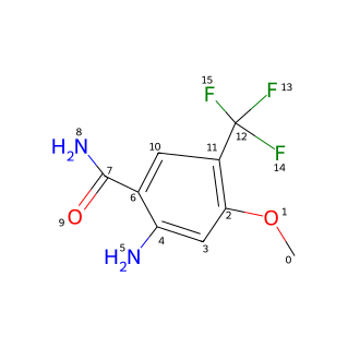 COc1cc(N)c(C(N)=O)cc1C(F)(F)F